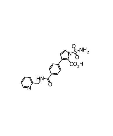 NS(=O)(=O)n1ccc(-c2ccc(C(=O)NCc3ccccn3)cc2)c1C(=O)O